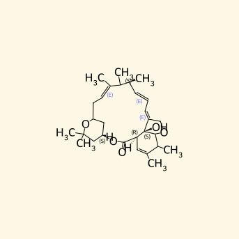 CC1=C[C@H]2C(=O)O[C@H]3CC(C/C=C(\C)C(C)[C@@H](C)/C=C/C=C4\COC(C1C)[C@@]42O)OC(C)(C)C3